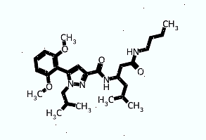 CCCCNC(=O)CC(CC(C)C)NC(=O)c1cc(-c2c(OC)cccc2OC)n(CC(C)C)n1